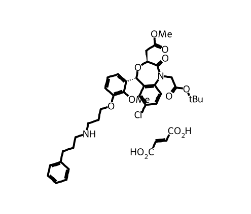 COC(=O)C[C@@H]1O[C@@H](c2cccc(OCCCNCCCc3ccccc3)c2OC)c2cc(Cl)ccc2N(CC(=O)OC(C)(C)C)C1=O.O=C(O)/C=C/C(=O)O